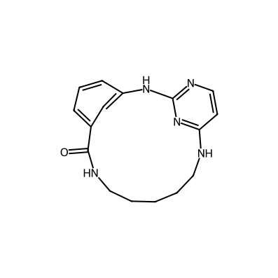 O=C1NCCCCCNc2ccnc(n2)Nc2cccc1c2